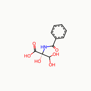 O=C(N[C@](O)(C(=O)O)C(O)O)c1ccccc1